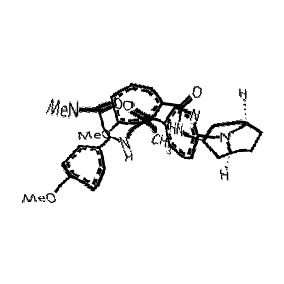 CNC(=O)[C@@H](NC(=O)c1ccc(N2[C@@H]3CC[C@H]2C[C@@H](NC(=O)c2cccc(OC)c2C)C3)nc1)c1ccc(OC)cc1